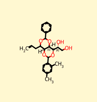 C=CCC1OC(c2ccccc2)O[C@H]2[C@@H]([C@H](O)CO)OC(c3ccc(C)cc3C)O[C@@H]12